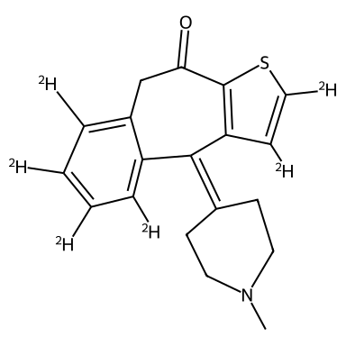 [2H]c1sc2c(c1[2H])C(=C1CCN(C)CC1)c1c([2H])c([2H])c([2H])c([2H])c1CC2=O